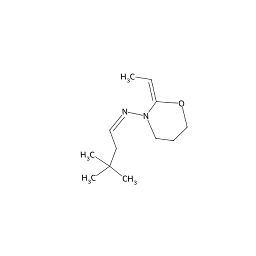 C/C=C1/OCCCN1/N=C\CC(C)(C)C